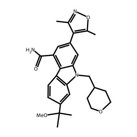 COC(C)(C)c1ccc2c3c(C(N)=O)cc(-c4c(C)noc4C)cc3n(CC3CCOCC3)c2c1